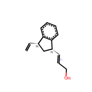 C=C[C@H]1C[C@@H](/C=C/CO)c2ccccc21